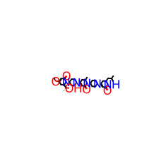 COC1=CC(=O)N(C2CCN(C3=CC(=O)N(C4CCN(C5=CC(=O)NC(CC(C)C)C5)CC4)C(C)C3)CC2)C([C@@H](C)O)C1